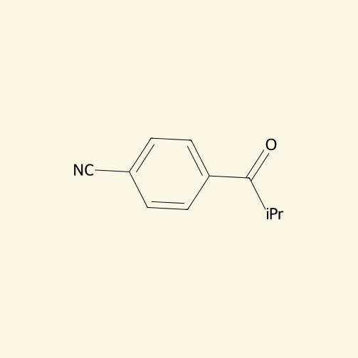 CC(C)C(=O)c1ccc(C#N)cc1